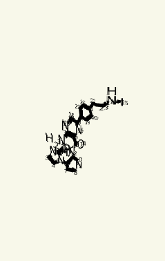 CC(C)c1nccn1-c1ccncc1NC(=O)c1nc(-c2ccc(CCNI)cc2)cnc1N